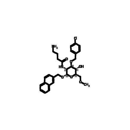 COC[C@H]1O[C@H](OCc2ccc3ccccc3c2)[C@H](NC(=O)CCCN)[C@@H](OCc2ccc(Cl)cc2)[C@@H]1O